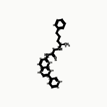 C[C@H](CCCc1ccccc1)NCC(=O)Nc1ccc2ncc(-c3cccnc3)nc2n1